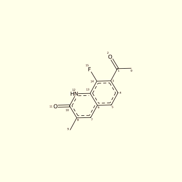 CC(=O)c1ccc2cc(C)c(=O)[nH]c2c1F